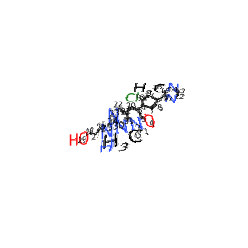 CCn1c(=O)c(-c2ccc(-c3nccnc3C)cc2Cl)cc2cnc(NCCCO)nc21